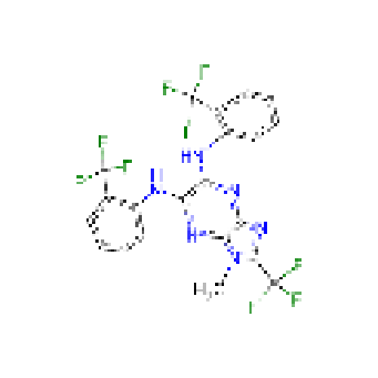 Cn1c(C(F)(F)F)nc2nc(Nc3ccccc3C(F)(F)F)c(Nc3ccccc3C(F)(F)F)nc21